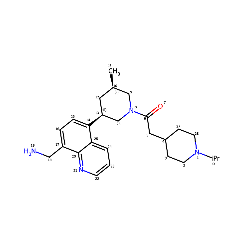 CC(C)N1CCC(CC(=O)N2C[C@H](C)C[C@H](c3ccc(CN)c4ncccc34)C2)CC1